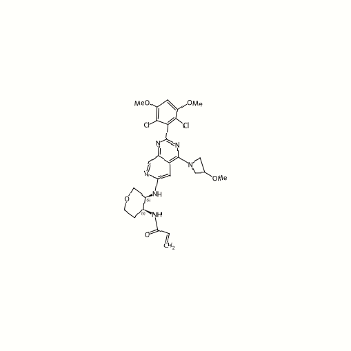 C=CC(=O)N[C@H]1CCOC[C@H]1Nc1cc2c(N3CC(OC)C3)nc(-c3c(Cl)c(OC)cc(OC)c3Cl)nc2cn1